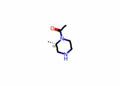 CC(=O)N1CCNC[C@@H]1C